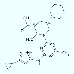 Cc1cc(Nc2cc(C3CC3)n[nH]2)nc(N2C[C@@H](C3CCCCC3)C[C@@H](C(=O)O)C2C)n1